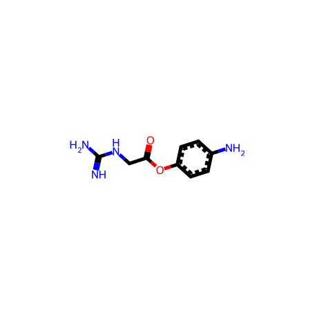 N=C(N)NCC(=O)Oc1ccc(N)cc1